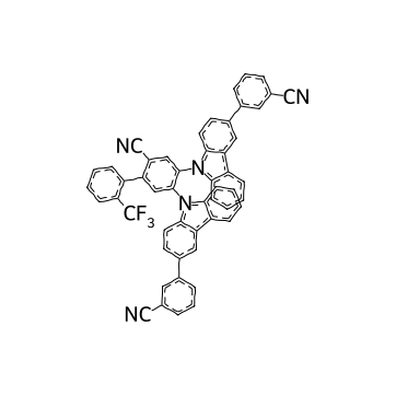 N#Cc1cccc(-c2ccc3c(c2)c2ccccc2n3-c2cc(C#N)c(-c3ccccc3C(F)(F)F)cc2-n2c3ccccc3c3cc(-c4cccc(C#N)c4)ccc32)c1